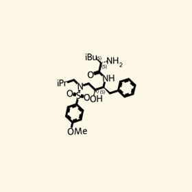 CC[C@H](C)[C@H](N)C(=O)N[C@@H](Cc1ccccc1)[C@H](O)CN(CC(C)C)S(=O)(=O)c1ccc(OC)cc1